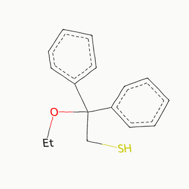 CCOC(CS)(c1ccccc1)c1ccccc1